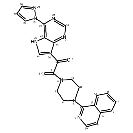 O=C(C(=O)N1CCN(c2nccc3ccccc23)CC1)c1c[nH]c2c(-n3cccn3)ncnc12